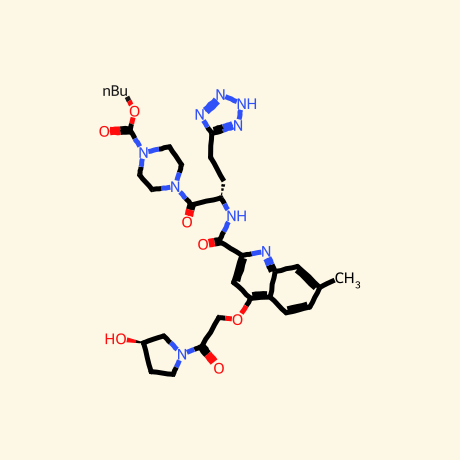 CCCCOC(=O)N1CCN(C(=O)[C@H](CCc2nn[nH]n2)NC(=O)c2cc(OCC(=O)N3CC[C@@H](O)C3)c3ccc(C)cc3n2)CC1